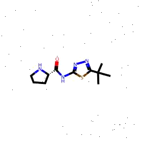 CC(C)(C)c1nnc(NC(=O)[C@@H]2CCCN2)s1